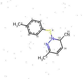 CC1=NN(Sc2ccc(C)cc2)C(C#N)C=C1